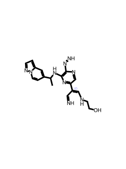 CC(Nc1nc(/C(C=N)=C/NCCO)cnc1N=N)c1ccn2nccc2c1